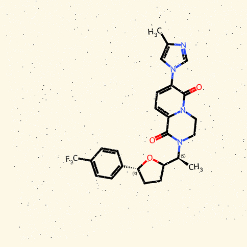 Cc1cn(-c2ccc3n(c2=O)CCN([C@@H](C)C2CC[C@H](c4ccc(C(F)(F)F)cc4)O2)C3=O)cn1